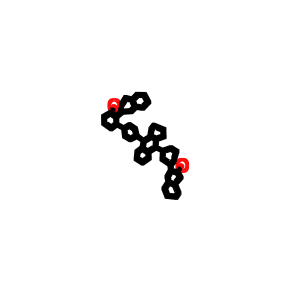 c1ccc2cc3c(cc2c1)oc1ccc(-c2c4ccccc4c(-c4ccc(-c5cccc6oc7cc8ccccc8cc7c56)cc4)c4ccccc24)cc13